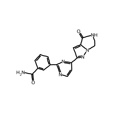 NC(=O)c1cccc(-c2nccc(-c3cc4n(n3)CCNC4=O)n2)c1